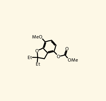 CCC1(CC)Cc2c(OC(=O)OC)ccc(OC)c2O1